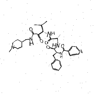 CC(C)[C@H](NC(=O)[C@H](C)NC(=O)[C@H](Cc1ccccc1)NC(=O)c1ccncc1)C(=O)C(=O)NCC1CCN(C)CC1